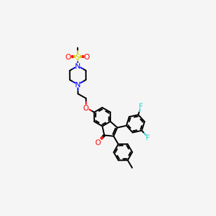 Cc1ccc(C2=C(c3cc(F)cc(F)c3)c3ccc(OCCN4CCN(S(C)(=O)=O)CC4)cc3C2=O)cc1